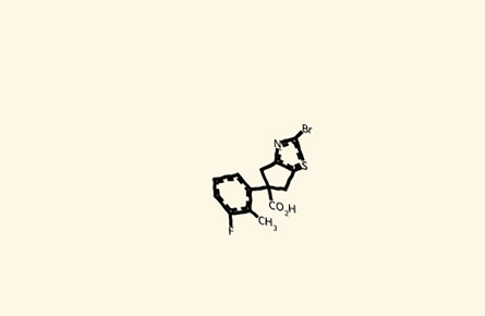 Cc1c(F)cccc1C1(C(=O)O)Cc2nc(Br)sc2C1